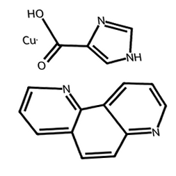 O=C(O)c1c[nH]cn1.[Cu].c1cnc2c(c1)ccc1ncccc12